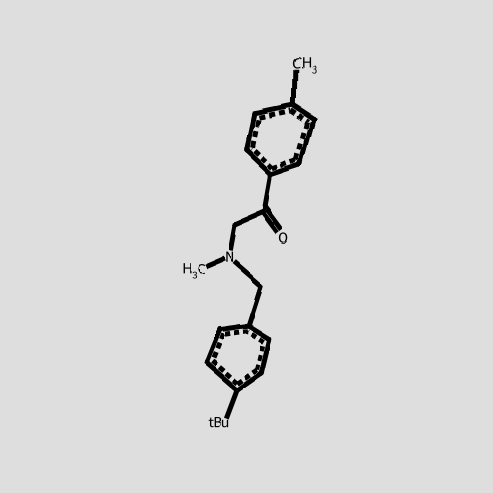 Cc1ccc(C(=O)CN(C)Cc2ccc(C(C)(C)C)cc2)cc1